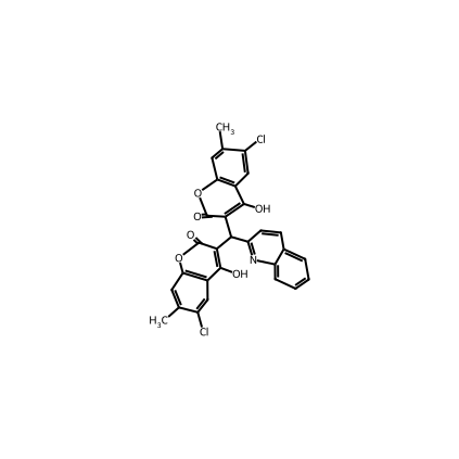 Cc1cc2oc(=O)c(C(c3ccc4ccccc4n3)c3c(O)c4cc(Cl)c(C)cc4oc3=O)c(O)c2cc1Cl